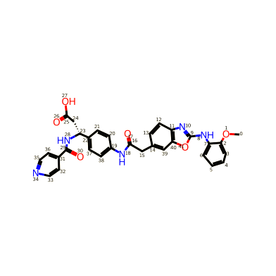 COc1ccccc1Nc1nc2ccc(CC(=O)Nc3ccc([C@@H](CC(=O)O)NC(=O)c4ccncc4)cc3)cc2o1